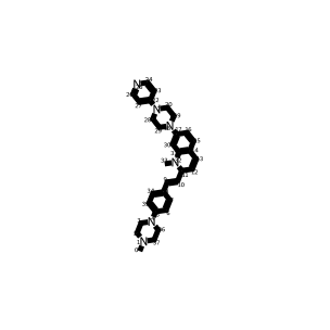 CN1CCN(c2ccc(C=CC3C=Cc4ccc(N5CCN(c6ccncc6)CC5)cc4N3C)cc2)CC1